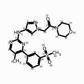 Cc1cnc(Nc2cnn(CC(=O)N3CCOCC3)c2)nc1-c1cccc(S(C)(=O)=O)c1